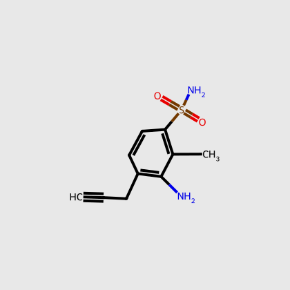 C#CCc1ccc(S(N)(=O)=O)c(C)c1N